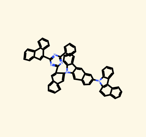 c1ccc(-c2nc(-c3cc4ccccc4cc3-n3c4ccccc4c4cc5cc(-n6c7ccccc7c7c8ccccc8ccc76)ccc5cc43)nc(-c3cc4ccccc4c4ccccc34)n2)cc1